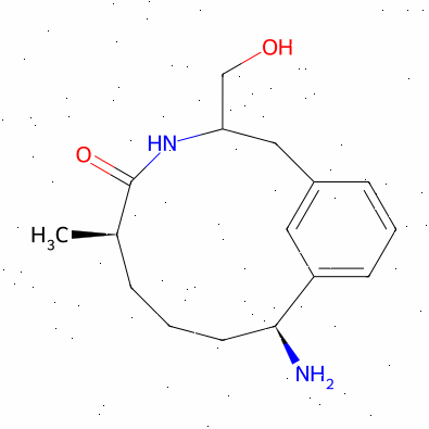 C[C@@H]1CCC[C@H](N)c2cccc(c2)CC(CO)NC1=O